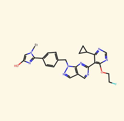 CCn1cc(O)nc1-c1ccc(Cn2ncc3cnc(-c4c(OCCF)ncnc4C4CC4)nc32)cc1